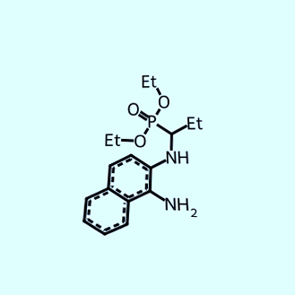 CCOP(=O)(OCC)C(CC)Nc1ccc2ccccc2c1N